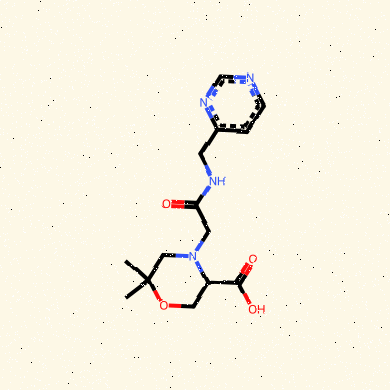 CC1(C)CN(CC(=O)NCc2ccncn2)C(C(=O)O)CO1